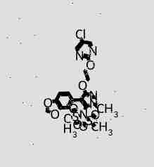 Cn1nc(OCCOc2ncc(Cl)cn2)c(-c2ccc3c(c2)OCO3)c1N(S(C)(=O)=O)S(C)(=O)=O